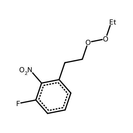 CCOOCCc1cccc(F)c1[N+](=O)[O-]